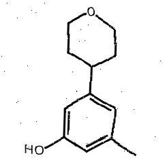 Cc1cc(O)cc(C2CCOCC2)c1